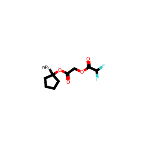 CCCC1(OC(=O)COC(=O)C(F)F)CCCC1